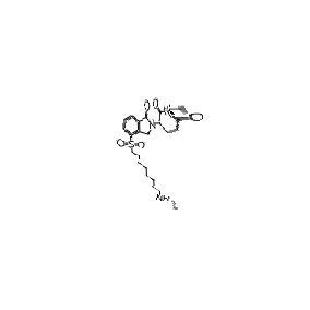 NCCCCCCCCS(=O)(=O)c1cccc2c1CN(C1CCC(=O)NC1=O)C2=O